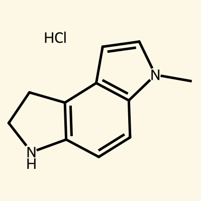 Cl.Cn1ccc2c3c(ccc21)NCC3